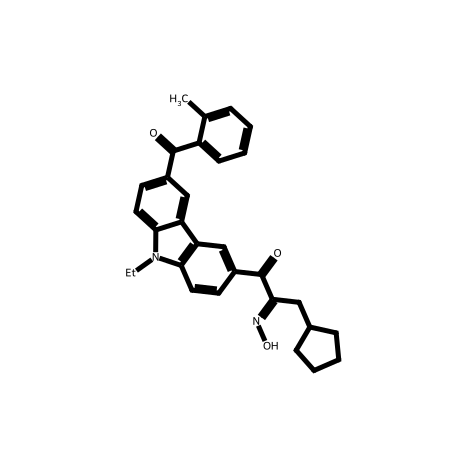 CCn1c2ccc(C(=O)C(CC3CCCC3)=NO)cc2c2cc(C(=O)c3ccccc3C)ccc21